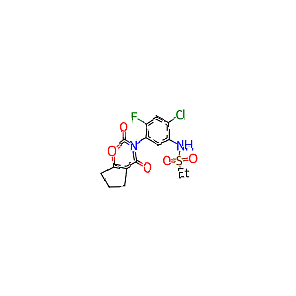 CCS(=O)(=O)Nc1cc(-n2c(=O)oc3c(c2=O)CCC3)c(F)cc1Cl